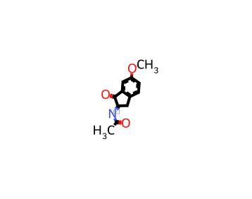 COc1ccc2c(c1)C(=O)/C(=N/C(C)=O)C2